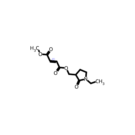 CCN1CCC(COC(=O)/C=C/C(=O)OC)C1=O